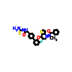 CN(C(=O)c1ccccc1)N1CC=C(Oc2c(F)cccc2-c2ccc(CC(=O)NC(N)=S)cc2)c2sccc21